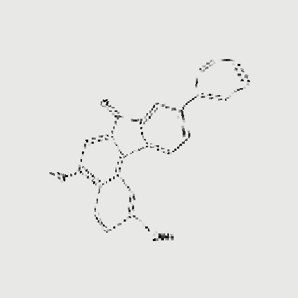 COc1ccc2c(O)cc3c(c2c1)-c1ccc(-c2ccccc2)cc1C3=O